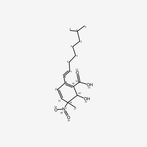 CC(C)CCCCC=CC1=C(C(=O)O)C(O)C(C)([N+](=O)[O-])C=C1